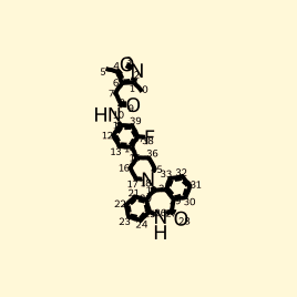 Cc1noc(C)c1CC(=O)Nc1ccc(C2CCN(C3c4ccccc4NC(=O)c4ccccc43)CC2)c(F)c1